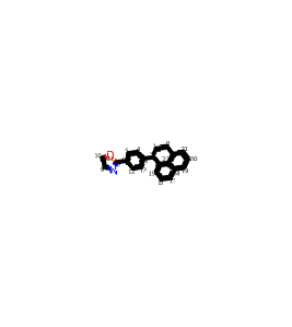 C1=CC(c2ccc(-c3ncco3)cc2)c2cccc3cccc1c23